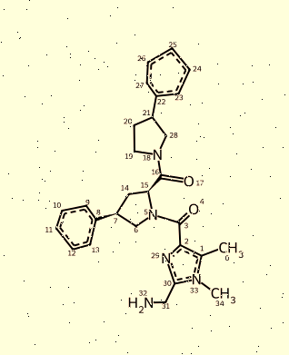 Cc1c(C(=O)N2C[C@@H](c3ccccc3)C[C@H]2C(=O)N2CCC(c3ccccc3)C2)nc(CN)n1C